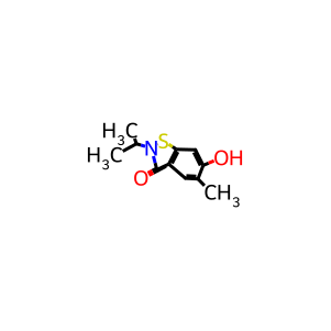 Cc1cc2c(=O)n(C(C)C)sc2cc1O